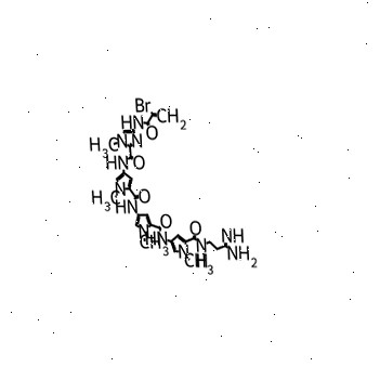 C=C(Br)C(=O)Nc1cn(C)c(C(=O)Nc2cc(C(=O)Nc3cc(C(=O)Nc4cc(C(=O)NCCC(=N)N)n(C)c4)n(C)c3)n(C)c2)n1